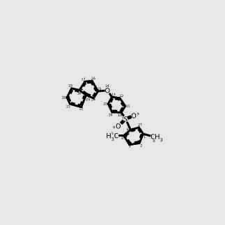 Cc1ccc(C)c(S(=O)(=O)c2ccc(Oc3ccc4ccccc4c3)cc2)c1